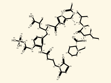 CC[C@H](C)[C@H](NC(=O)[C@H]1CCCCN1C)C(=O)N(C)[C@H](C[C@@H](OC(C)=O)c1nc(C(=O)N[C@@H](Cc2ccc(OC(=O)OP(=O)(O)O)c(NC(=O)CCCN3C(=O)C=CC3=O)c2)CC(C)C(=O)O)cs1)C(C)C